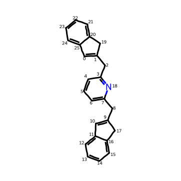 C1=C(Cc2cccc(CC3=Cc4ccccc4C3)n2)Cc2ccccc21